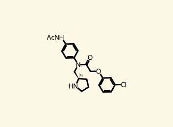 CC(=O)Nc1ccc(N(C[C@H]2CCCN2)C(=O)COc2cccc(Cl)c2)cc1